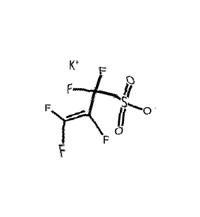 O=S(=O)([O-])C(F)(F)C(F)=C(F)F.[K+]